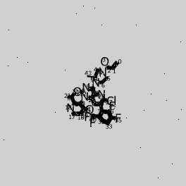 C=CC(=O)N1CCN(c2nc(=O)n(-c3c(C)ccnc3C(C)C)c3c4c(c(Cl)nc23)-c2c(ccc(F)c2F)C(F)(F)O4)[C@@H](C)C1